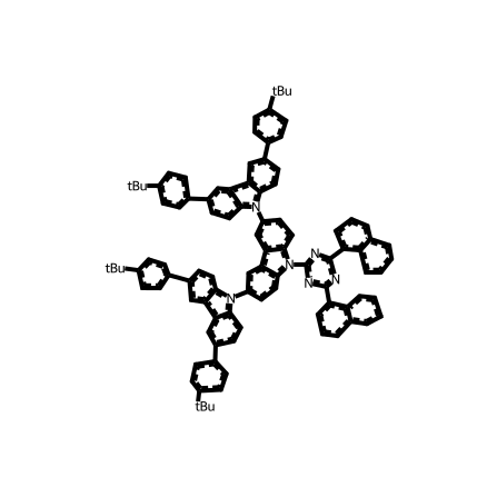 CC(C)(C)c1ccc(-c2ccc3c(c2)c2cc(-c4ccc(C(C)(C)C)cc4)ccc2n3-c2ccc3c(c2)c2cc(-n4c5ccc(-c6ccc(C(C)(C)C)cc6)cc5c5cc(-c6ccc(C(C)(C)C)cc6)ccc54)ccc2n3-c2nc(-c3cccc4ccccc34)nc(-c3cccc4ccccc34)n2)cc1